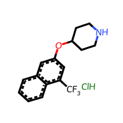 Cl.FC(F)(F)c1cc(OC2CCNCC2)cc2ccccc12